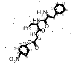 CC(C)CC(NC(=O)C(N)Cc1ccccc1)C(=O)NCC(=O)Oc1ccc([N+](=O)[O-])cc1